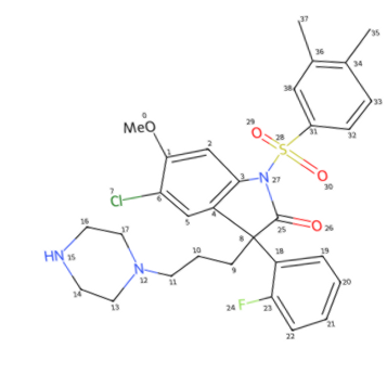 COc1cc2c(cc1Cl)C(CCCN1CCNCC1)(c1ccccc1F)C(=O)N2S(=O)(=O)c1ccc(C)c(C)c1